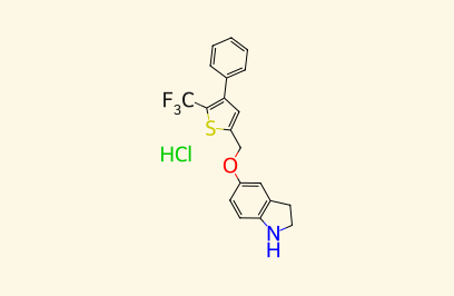 Cl.FC(F)(F)c1sc(COc2ccc3c(c2)CCN3)cc1-c1ccccc1